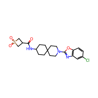 O=C(NC1CCC2(CC1)CCN(c1nc3cc(Cl)ccc3o1)CC2)C1CS(=O)(=O)C1